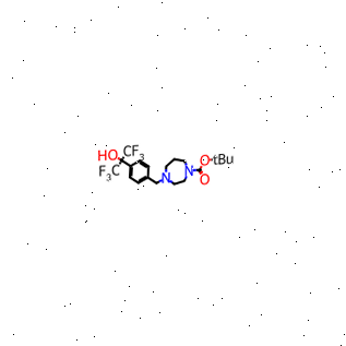 CC(C)(C)OC(=O)N1CCCN(Cc2ccc(C(O)(C(F)(F)F)C(F)(F)F)cc2)CC1